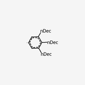 CCCCCCCCCCc1c[c]cc(CCCCCCCCCC)c1CCCCCCCCCC